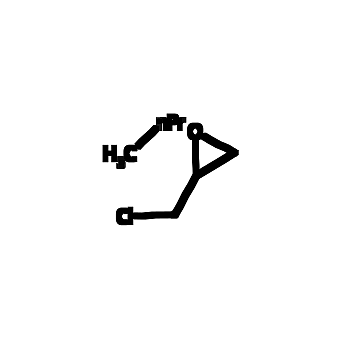 CCCC.ClCC1CO1